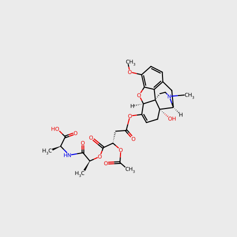 COc1ccc2c3c1O[C@@H]1C(OC(=O)C[C@H](OC(C)=O)C(=O)O[C@@H](C)C(=O)N[C@@H](C)C(=O)O)=CC[C@]4(O)[C@H](C2)N(C)CC[C@@]314